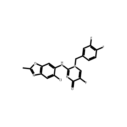 Cc1nc2cc(Cl)c(Nc3nc(=O)c(F)cn3Cc3ccc(F)c(F)c3)cc2o1